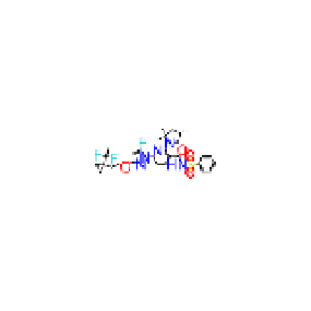 C[C@@H]1CN(c2nc(-n3nc(OCCC4(C(C)(F)F)CC4)cc3F)ccc2C(=O)NS(=O)(=O)c2ccccc2)C(C)(C)C1